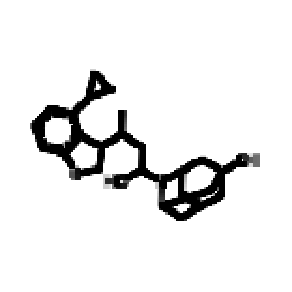 CC(CC(O)N1C2CC3CC1CC(O)(C3)C2)C1COc2cccc(C3CC3)c21